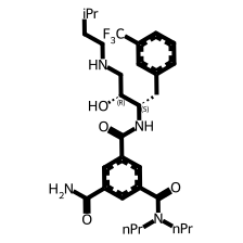 CCCN(CCC)C(=O)c1cc(C(N)=O)cc(C(=O)N[C@@H](Cc2cccc(C(F)(F)F)c2)[C@H](O)CNCCC(C)C)c1